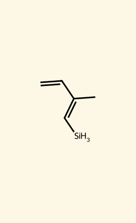 C=CC(C)=C[SiH3]